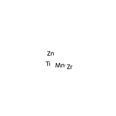 [Mn].[Ti].[Zn].[Zr]